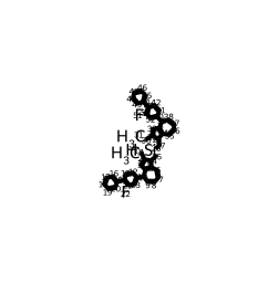 CCC1=CC2=C(C=CC=CC2c2ccc(-c3ccccc3)c(F)c2)C1C[SiH2]CC1C(CC)=CC2=C1C=CC=CC2c1ccc(-c2ccccc2)c(F)c1